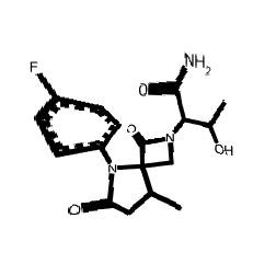 CC(O)C(C(N)=O)N1CC2(C1=O)C(C)CC(=O)N2c1ccc(F)cc1